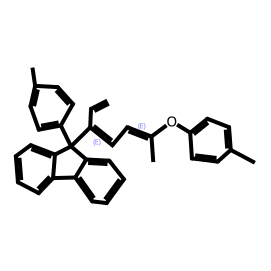 C=C/C(=C\C=C(/C)Oc1ccc(C)cc1)C1(c2ccc(C)cc2)c2ccccc2-c2ccccc21